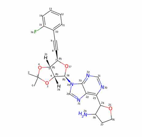 CC1(C)O[C@@H]2[C@H](O1)[C@@H](C#Cc1ccccc1F)O[C@H]2n1cnc2c(C3OCCC3N)ncnc21